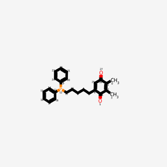 CC1=C(C)C(=O)C(CCCCCP(c2ccccc2)c2ccccc2)=CC1=O